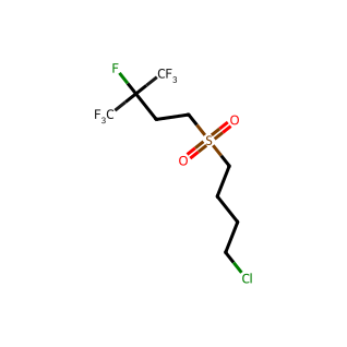 O=S(=O)(CCCCCl)CCC(F)(C(F)(F)F)C(F)(F)F